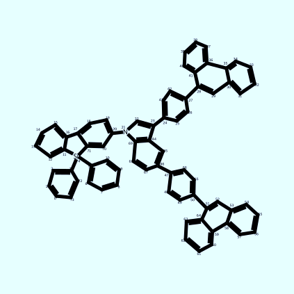 c1ccc([Si]2(c3ccccc3)c3ccccc3-c3ccc(-n4cc(-c5ccc(-c6cc7ccccc7c7ccccc67)cc5)c5cc(-c6ccc(-c7cc8ccccc8c8ccccc78)cc6)ccc54)cc32)cc1